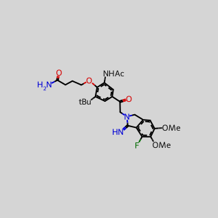 COc1cc2c(c(F)c1OC)C(=N)N(CC(=O)c1cc(NC(C)=O)c(OCCCC(N)=O)c(C(C)(C)C)c1)C2